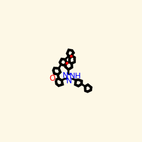 c1ccc(-c2ccc(-c3ccc4oc5cccc(C6=NC(c7ccc(-c8ccccc8)cc7)NC(c7ccc8ccccc8c7)=N6)c5c4c3)cc2)cc1